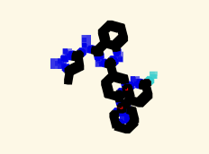 Cc1cc(Nc2nc(-c3ccc(N4CC5CC(C4)N5Cc4ccc(F)nc4)nc3)nc3ccccc23)n[nH]1